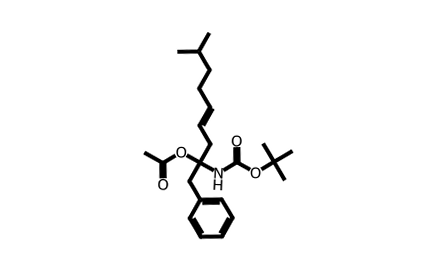 CC(=O)OC(C/C=C/CCC(C)C)(Cc1ccccc1)NC(=O)OC(C)(C)C